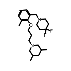 Cc1c[c]cc(CN2CCC(F)(F)CC2)c1OCCCN1CC(C)CC(C)C1